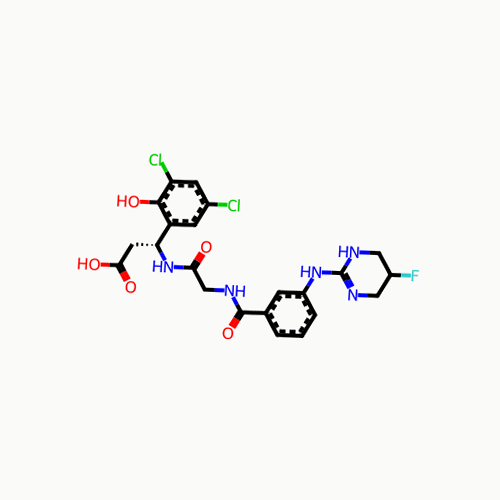 O=C(O)C[C@@H](NC(=O)CNC(=O)c1cccc(NC2=NCC(F)CN2)c1)c1cc(Cl)cc(Cl)c1O